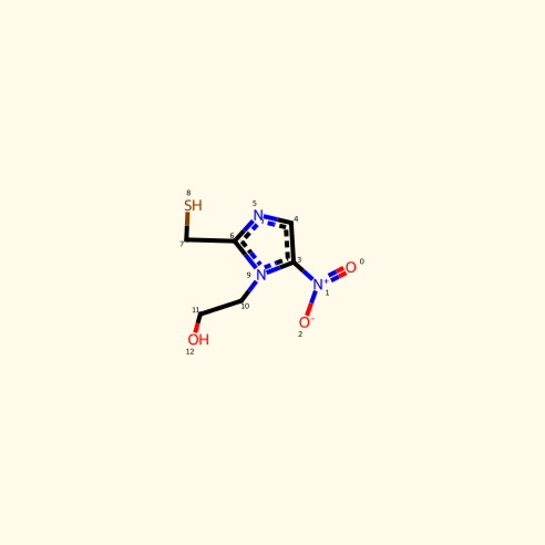 O=[N+]([O-])c1cnc(CS)n1CCO